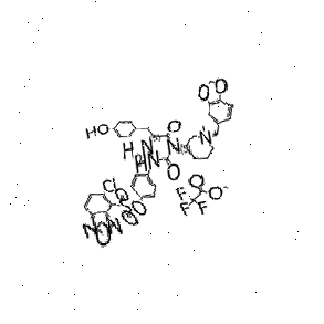 C[N+]1(Cc2ccc3c(c2)OCO3)CCC[C@H](N(C(=O)Nc2ccc(OS(=O)(=O)c3c(Cl)ccc4nonc34)cc2)C(=O)[C@@H](N)Cc2ccc(O)cc2)C1.O=C([O-])C(F)(F)F